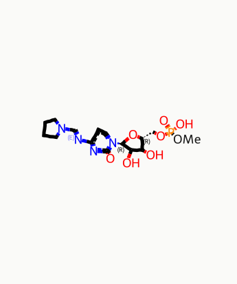 COP(=O)(O)OC[C@H]1O[C@@H](n2ccc(/N=C/N3CCCC3)nc2=O)C(O)C1O